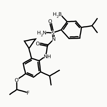 Bc1cc(C(C)C)ccc1S(N)(=O)=NC(=O)Nc1c(C(C)C)cc(OC(C)F)cc1C1CC1